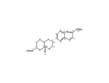 CCCCCCC1CCC2C[C@H](c3ccc4cc(OC)ccc4c3)CC[C@@H]2C1